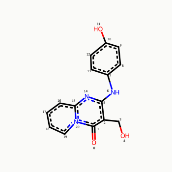 O=c1c(CO)c(Nc2ccc(O)cc2)nc2ccccn12